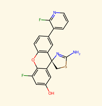 NC1=N[C@@]2(CS1)c1cc(-c3cccnc3F)ccc1Oc1c(F)cc(O)cc12